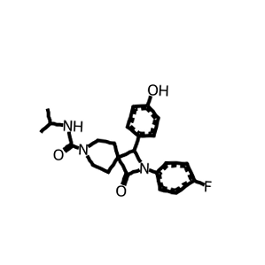 CC(C)NC(=O)N1CCC2(CC1)C(=O)N(c1ccc(F)cc1)C2c1ccc(O)cc1